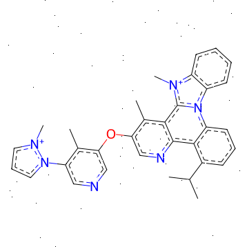 Cc1c(Oc2cnc3c4c(C(C)C)cccc4n4c5ccccc5[n+](C)c4c3c2C)cncc1-n1ccc[n+]1C